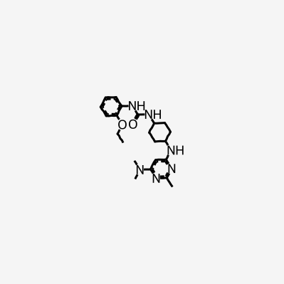 CCOc1ccccc1NC(=O)NC1CCC(Nc2cc(N(C)C)nc(C)n2)CC1